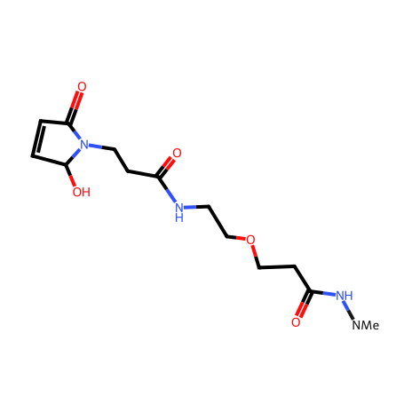 CNNC(=O)CCOCCNC(=O)CCN1C(=O)C=CC1O